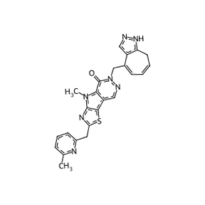 Cc1cccc(Cc2nc3c(s2)c2cnn(CC4=CC=CCc5[nH]ncc54)c(=O)c2n3C)n1